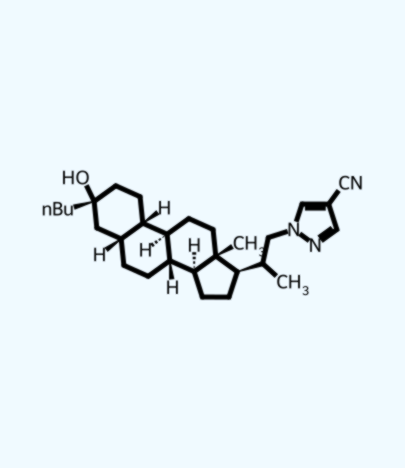 CCCC[C@@]1(O)CC[C@H]2[C@H](CC[C@@H]3[C@@H]2CC[C@]2(C)[C@@H](C(C)Cn4cc(C#N)cn4)CC[C@@H]32)C1